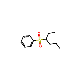 CCCC(CC)S(=O)(=O)c1ccccc1